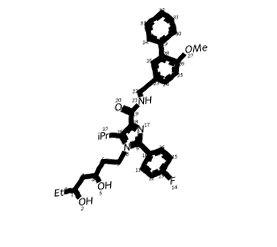 [CH2]CC(O)CC(O)CCn1c(-c2ccc(F)cc2)nc(C(=O)NCc2ccc(OC)c(-c3ccccc3)c2)c1C(C)C